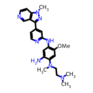 COc1cc(N(C)CCN(C)C)c(N)cc1Nc1cc(-c2nn(C)c3ccncc23)ccn1